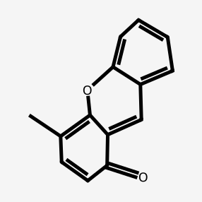 Cc1ccc(=O)c2cc3ccccc3oc1-2